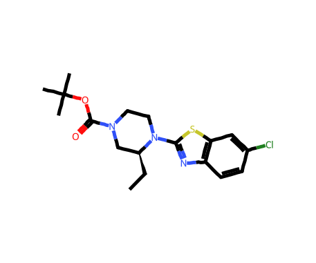 CC[C@H]1CN(C(=O)OC(C)(C)C)CCN1c1nc2ccc(Cl)cc2s1